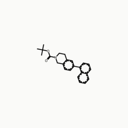 CC(C)(C)OC(=O)N1CCc2cc(-c3cccc4ccccc34)ccc2C1